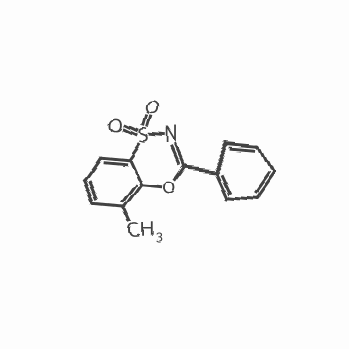 Cc1cccc2c1OC(c1ccccc1)=NS2(=O)=O